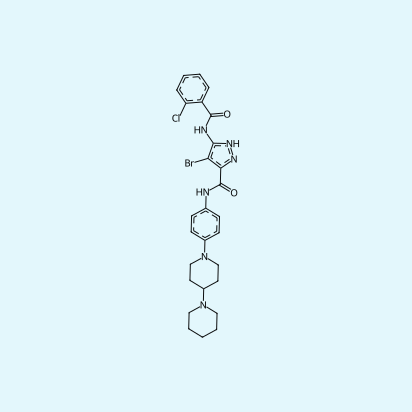 O=C(Nc1[nH]nc(C(=O)Nc2ccc(N3CCC(N4CCCCC4)CC3)cc2)c1Br)c1ccccc1Cl